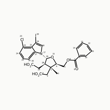 C[C@]1(CC(=O)O)[C@H](COC(=O)c2ccccc2)O[C@@H](n2cc(I)c3c(Cl)cccc32)[C@@H]1CC(=O)O